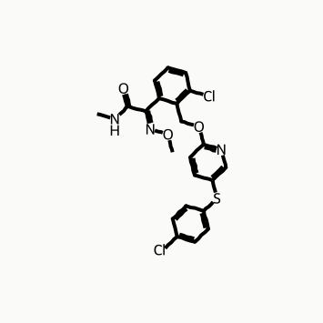 CNC(=O)/C(=N/OC)c1cccc(Cl)c1COc1ccc(Sc2ccc(Cl)cc2)cn1